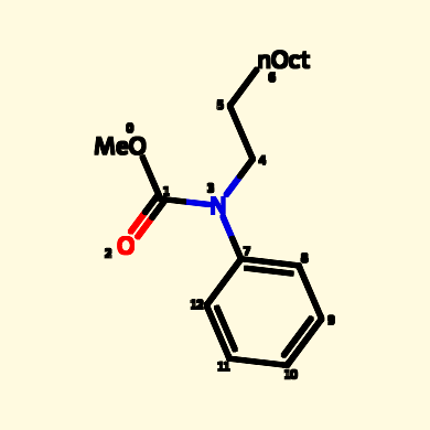 [CH2]OC(=O)N(CCCCCCCCCC)c1ccccc1